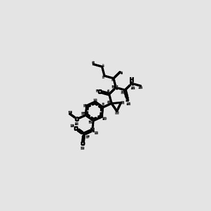 CCCC(C)N(C(=O)C1(c2ccc(OC)c(N=S(=O)=O)c2)CC1)C(=S)NC